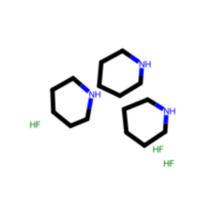 C1CCNCC1.C1CCNCC1.C1CCNCC1.F.F.F